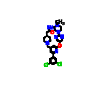 CN1CCN(c2ncc(Oc3cc(CN4CCC(CC(N)=O)CC4)cc(-c4cc(Cl)cc(Cl)c4)n3)cn2)CC1